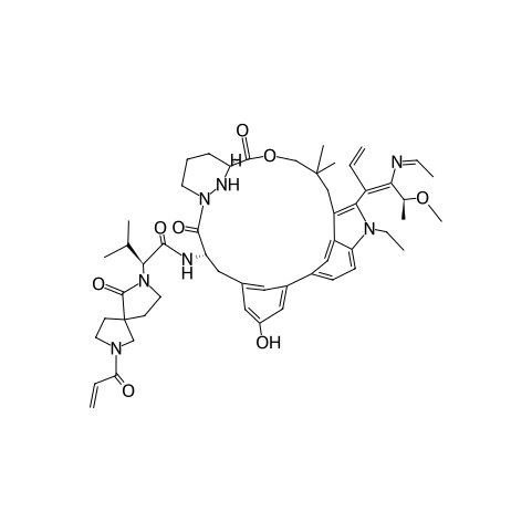 C=CC(=O)N1CCC2(CCN([C@H](C(=O)N[C@H]3Cc4cc(O)cc(c4)-c4ccc5c(c4)c(c(/C(C=C)=C(/N=C\C)[C@H](C)OC)n5CC)CC(C)(C)COC(=O)[C@@H]4CCCN(N4)C3=O)C(C)C)C2=O)C1